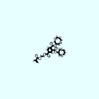 C=C(C)C(=O)OCCOC(=O)c1ccc(C(=O)OC2CSCCCSC2)c(C(=O)OC2CSCCCSC2)c1